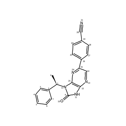 C[C@H](c1ccccc1)n1c(=O)[nH]c2ncc(-c3ccc(C#N)cc3)nc21